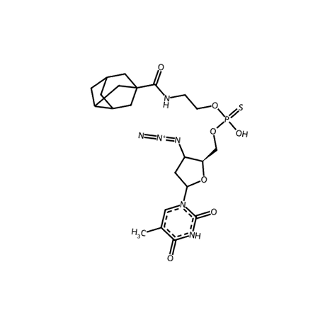 Cc1cn(C2CC(N=[N+]=[N-])[C@@H](COP(O)(=S)OCCNC(=O)C34CC5CC(C3)C(C5)C4)O2)c(=O)[nH]c1=O